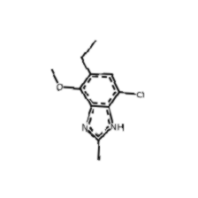 CCc1cc(Cl)c2[nH]c(C)nc2c1OC